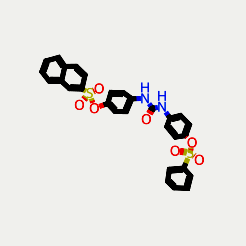 O=C(Nc1ccc(OS(=O)(=O)c2ccccc2)cc1)Nc1ccc(OS(=O)(=O)c2ccc3ccccc3c2)cc1